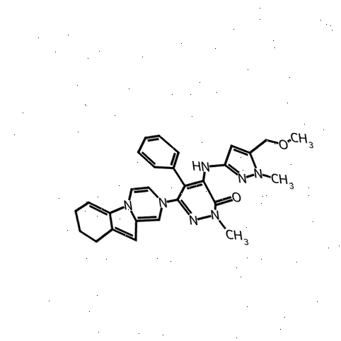 COCc1cc(Nc2c(-c3ccccc3)c(N3C=Cn4c(cc5c4=CCCC5)=C3)nn(C)c2=O)nn1C